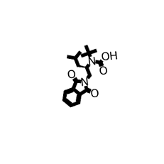 CC(C)C[C@H](CN1C(=O)c2ccccc2C1=O)N(C(=O)O)C(C)(C)C